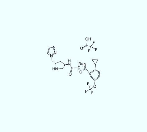 O=C(N[C@H]1CN[C@H](Cn2ccnn2)C1)c1nnc(-c2cc(OC(F)(F)F)ccc2C2CC2)o1.O=C(O)C(F)(F)F